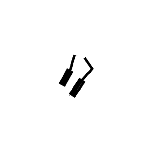 C#C[CH2].[C]#CCC